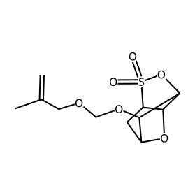 C=C(C)COCOC1C2CC3C(O2)C1OS3(=O)=O